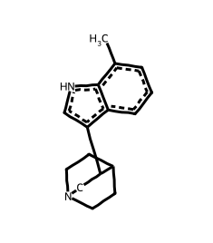 Cc1cccc2c(C3CN4CCC3CC4)c[nH]c12